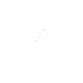 CCc1cc(CN2CCC3(CC2)CN(S(C)(=O)=O)C3)ccc1-c1ccc(C(O)(C(F)(F)F)C(F)(F)F)cc1